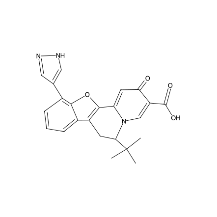 CC(C)(C)C1Cc2c(oc3c(-c4cn[nH]c4)cccc23)-c2cc(=O)c(C(=O)O)cn21